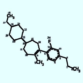 CCCc1ccc(C2=C(C)CCC(C3CCC(CC)CC3)CC2)c(F)c1